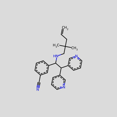 C=CCC(C)(C)CNC(c1cccc(C#N)c1)C(c1cccnc1)c1cccnc1